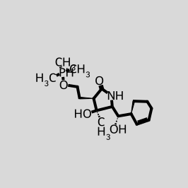 C[C@@]1(O)C([C@@H](O)[C@@H]2C=CCCC2)NC(=O)[C@@H]1CCO[PH](C)(C)C